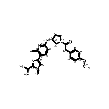 Cc1nc(N[C@H]2CCN(C(=O)Cc3ccc(OC(F)(F)F)cc3)C2)ccc1-c1cn(C)c(C(F)F)n1